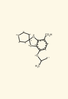 CC(F)Oc1ccc(C(=O)O)c2c1OC1(CCSCC1)O2